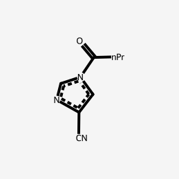 CCCC(=O)n1cnc(C#N)c1